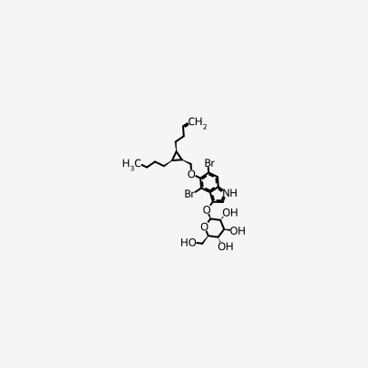 C=CCC[C@@H]1[C@H](CCCC)[C@@H]1COc1c(Br)cc2[nH]cc(O[C@@H]3O[C@H](CO)[C@@H](O)[C@H](O)[C@H]3O)c2c1Br